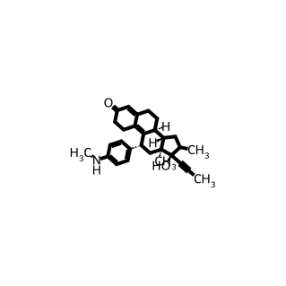 CC#C[C@@]1(O)C(C)C[C@H]2[C@@H]3CCC4=CC(=O)CCC4=C3[C@@H](c3ccc(NC)cc3)C[C@@]21C